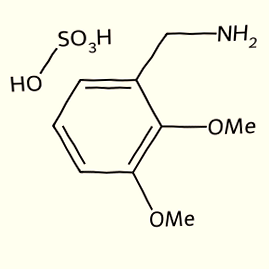 COc1cccc(CN)c1OC.O=S(=O)(O)O